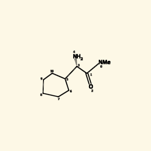 CNC(=O)[C@@H](N)C1CCCCC1